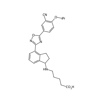 CC(C)Oc1ccc(-c2nc(-c3cccc4c3CCC4NCCCCC(=O)O)no2)cc1C#N